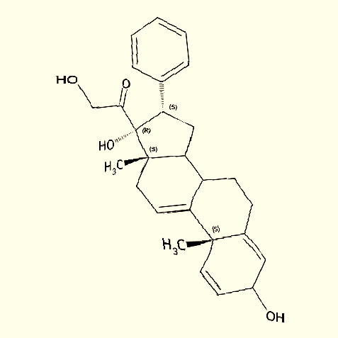 C[C@]12C=CC(O)C=C1CCC1C2=CC[C@@]2(C)C1C[C@@H](c1ccccc1)[C@]2(O)C(=O)CO